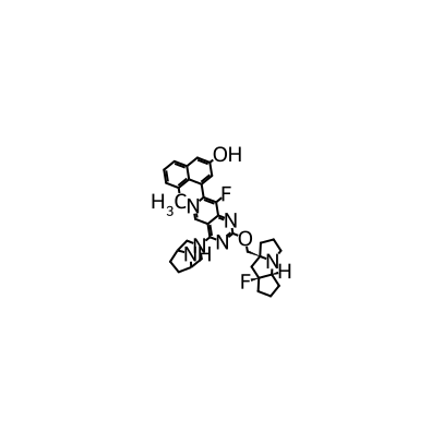 Cc1cccc2cc(O)cc(-c3ncc4c(N5CC6CCC(C5)N6)nc(OC[C@@]56CCCN5[C@@H]5CCC[C@]5(F)C6)nc4c3F)c12